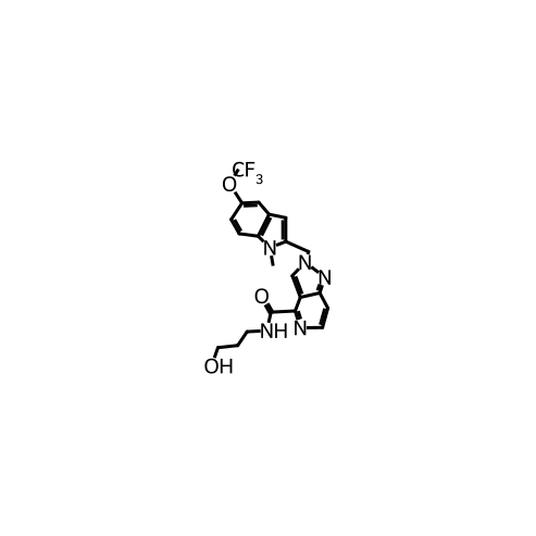 Cn1c(Cn2cc3c(C(=O)NCCCO)nccc3n2)cc2cc(OC(F)(F)F)ccc21